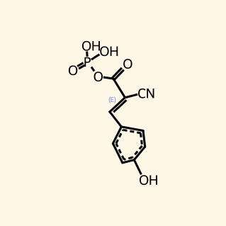 N#C/C(=C\c1ccc(O)cc1)C(=O)OP(=O)(O)O